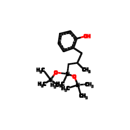 CC(Cc1ccccc1O)C[Si](C)(O[Si](C)(C)C)O[Si](C)(C)C